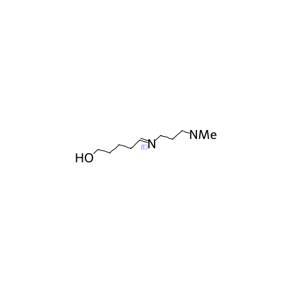 CNCCC/N=C/CCCCO